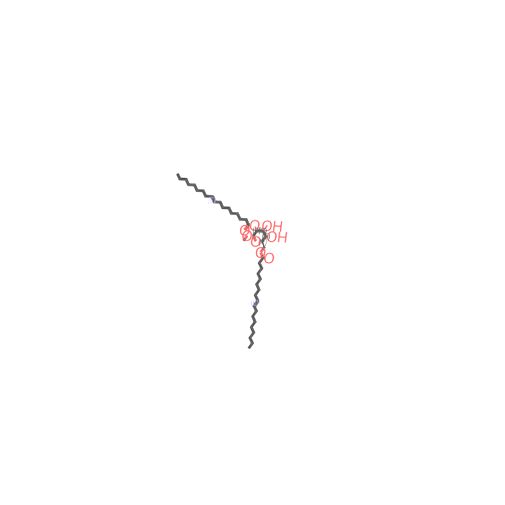 CCCCCCCC/C=C/CCCCCCCC(=O)OC[C@H]1OC(OC)[C@H](OC(=O)CCCCCCC/C=C/CCCCCCCC)[C@@H](O)[C@@H]1O